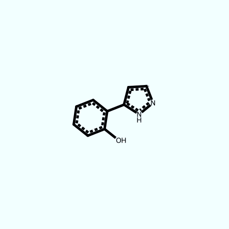 Oc1ccccc1-c1c[c]n[nH]1